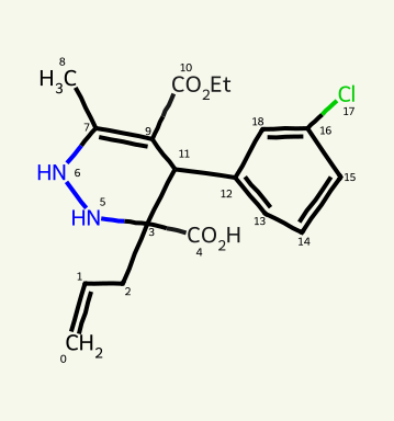 C=CCC1(C(=O)O)NNC(C)=C(C(=O)OCC)C1c1cccc(Cl)c1